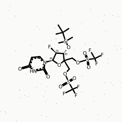 CC(C)(C)[Si](C)(C)O[C@H]1[C@H](F)[C@H](n2ccc(=O)[nH]c2=O)OC1(COS(=O)(=O)C(F)(F)F)COS(=O)(=O)C(F)(F)F